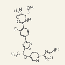 CC(C)c1nc(-c2ccc(O[C@H](C)c3cc(-c4ccc(C(=O)N[C@@H](CO)C(N)=O)c(F)c4)ns3)cn2)no1